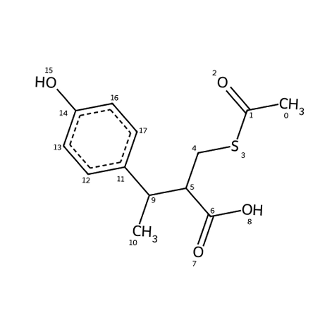 CC(=O)SCC(C(=O)O)C(C)c1ccc(O)cc1